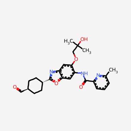 Cc1cccc(C(=O)Nc2cc3oc([C@H]4CC[C@H](C=O)CC4)nc3cc2OCC(C)(C)O)n1